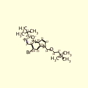 CC(C)(C)[S+]([O-])/N=C\c1nc2ccn(COCC[Si](C)(C)C)c2cc1Br